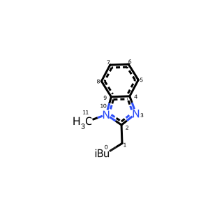 CCC(C)Cc1nc2ccccc2n1C